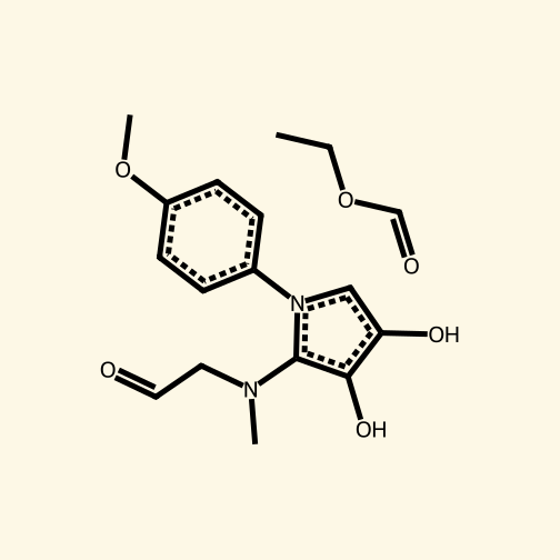 CCOC=O.COc1ccc(-n2cc(O)c(O)c2N(C)CC=O)cc1